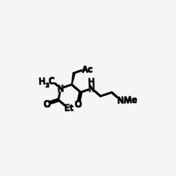 CCC(=O)N(C)[C@@H](CC(C)=O)C(=O)NCCNC